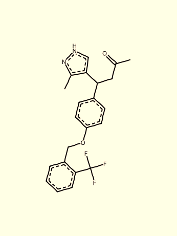 CC(=O)CC(c1ccc(OCc2ccccc2C(F)(F)F)cc1)c1c[nH]nc1C